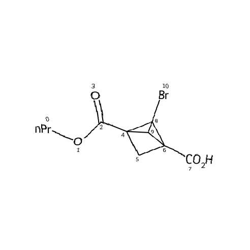 CCCOC(=O)C12CC(C(=O)O)(C1)C2Br